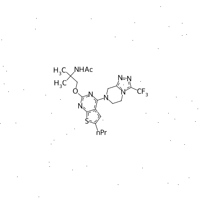 CCCc1cc2c(N3CCn4c(nnc4C(F)(F)F)C3)nc(OCC(C)(C)NC(C)=O)nc2s1